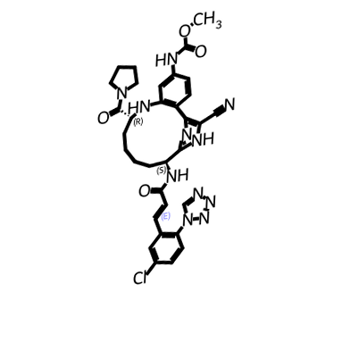 COC(=O)Nc1ccc2c(c1)N[C@@H](C(=O)N1CCCC1)CCCC[C@H](NC(=O)/C=C/c1cc(Cl)ccc1-n1cnnn1)c1nc-2c(C#N)[nH]1